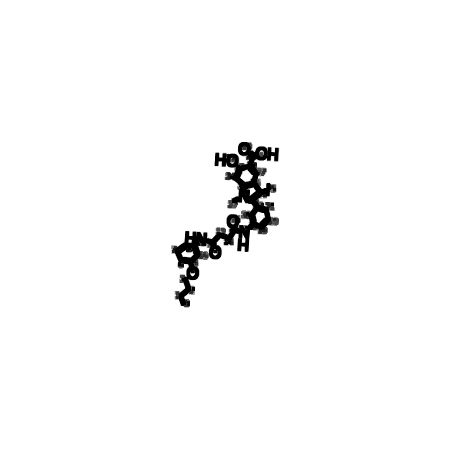 CCCCOc1cccc(NC(=O)CCC(=O)Nc2cccc(-c3c(I)c4cc(C(=O)O)c(O)cc4n3C)c2)c1